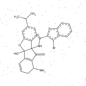 CC(C)c1ccc2c(c1)OC1(O)C3=C(C(=O)C21NC(=O)c1sc2ccccc2c1Br)C(N)CC=C3